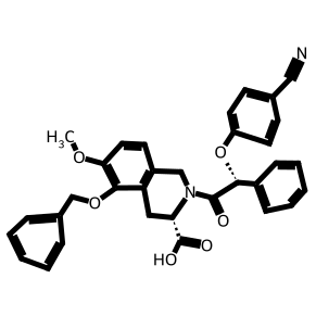 COc1ccc2c(c1OCc1ccccc1)C[C@@H](C(=O)O)N(C(=O)[C@H](Oc1ccc(C#N)cc1)c1ccccc1)C2